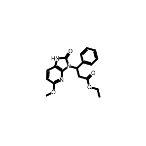 CCOC(=O)CC(c1ccccc1)n1c(=O)[nH]c2ccc(OC)nc21